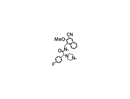 COc1c(C#N)cc2ccccc2c1CN(C)C(=O)C(c1ccc(F)cc1)N1CCN(C)CC1